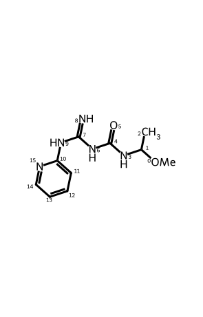 COC(C)NC(=O)NC(=N)Nc1ccccn1